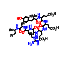 CCC(C)C(NC(=O)C(CCC(=O)O)NC(=O)C(CCC(=O)O)NC(=O)C(CCC(=O)O)NC(=O)C(Cc1ccc(O)cc1)NC)C(=O)NC(CCCNC(=N)N)C(=O)NC(C(=O)NC(CC(C)C)C(C)=O)C(C)C